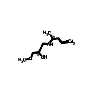 C=CC[C@H](C)NC[C@@H](O)COC